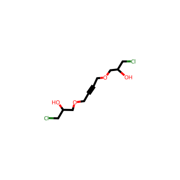 OC(CCl)COCC#CCOCC(O)CCl